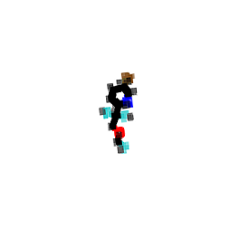 FCOCC(F)(F)c1ccc(Br)cn1